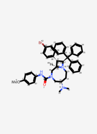 COc1ccc(NC(=O)N2C[C@@H](N(C)C)CCN3[C@H](C(c4ccccc4)(c4ccccc4)c4ccccc4)[C@@H](c4ccc(Br)cc4)[C@@H]3C2)cc1